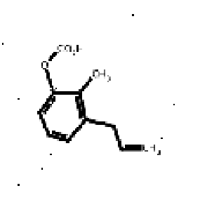 C=CCc1cccc(OC(=O)O)c1C